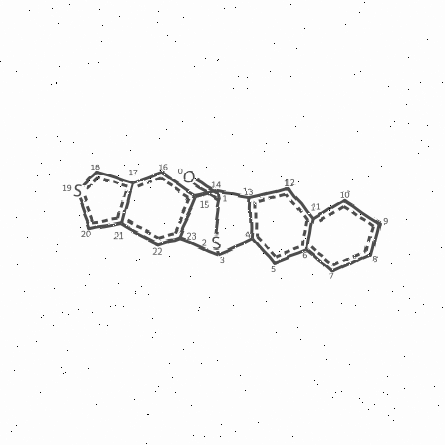 O=C1SC2c3cc4ccccc4cc3C1c1cc3cscc3cc12